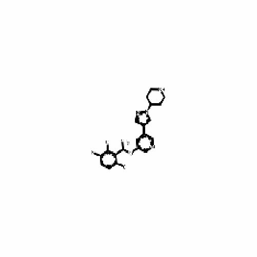 CC(Oc1cncc(-c2cnn(C3CCNCC3)c2)c1)c1c(Cl)ccc(F)c1Cl